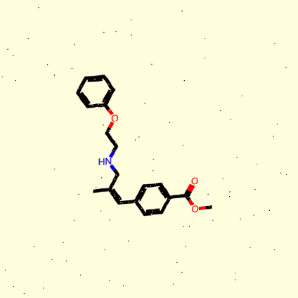 COC(=O)c1ccc(C=C(C)CNCCOc2ccccc2)cc1